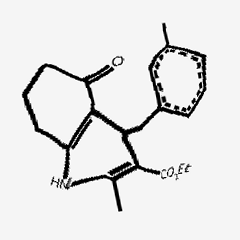 CCOC(=O)C1=C(C)NC2=C(C(=O)CCC2)C1c1cccc(C)c1